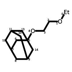 CCOCCOC12CC3CC(CC(C3)C1)C2